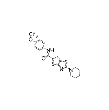 O=C(Nc1ccc(OC(F)(F)F)cc1)c1cc2sc(N3CCCCC3)nc2s1